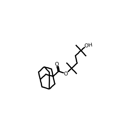 CC(C)(O)CCC(C)(C)OC(=O)C12CC3CC(CC(C3)C1)C2